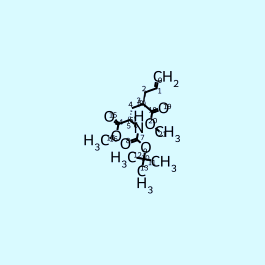 C=CC[C@H](C[C@H](NC(=O)OC(C)(C)C)C(=O)OC)C(=O)OC